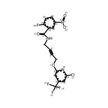 O=C(NCC#CCOc1cc(C(F)(F)F)cc(Cl)n1)c1cc([N+](=O)[O-])ccc1F